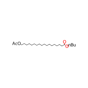 CCCCOC(=O)CCCCCCCCCCCCCCCCCOC(C)=O